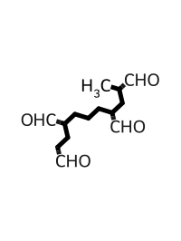 CC(C=O)CC(C=O)CCCC(C=O)CCC=O